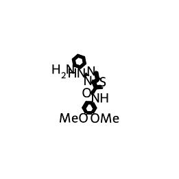 COC1C=CC(NC(=O)c2csc3cnc(N[C@@H]4CCCC[C@@H]4N)nc23)=CC1OC